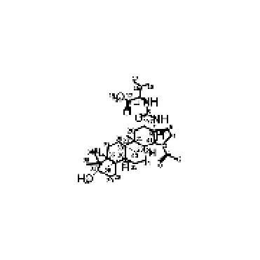 C=C(C)[C@@H]1CC[C@]2(NC(=O)N[C@@H](C(=O)OC)C(C)C)CC[C@]3(C)[C@H](CC[C@@H]4[C@@]5(C)CC[C@H](O)C(C)(C)[C@@H]5CC[C@]43C)[C@@H]12